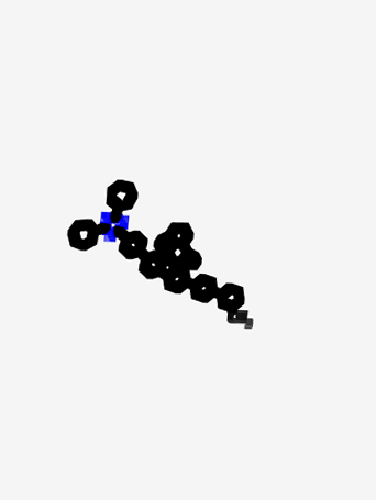 CC1=CC(c2ccc(-c3ccc4c(c3)C3(c5cc(-c6ccc(-c7nc(C8=CCC=CC=C8)nc(C8=CCC=CC=C8)n7)cc6)ccc5-4)c4ccccc4-c4cccc5cccc3c45)cc2)=CCC1